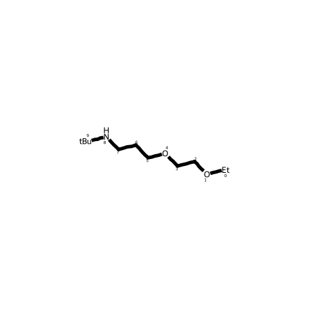 CCOCCOCCCNC(C)(C)C